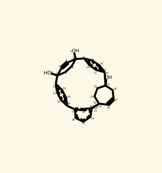 OC12C#CC(O)(CC1)c1ccc(cc1)C1(O)CC#CC(O)(CC1)c1cccc(c1)-c1ccc2cc1